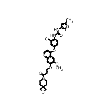 COc1cc2c(Oc3ccc(NC(=O)Nc4cc(C)on4)c(Cl)c3)ccnc2cc1OCCC(=O)N1CCC2(CC1)COC2